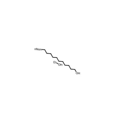 CCCCCCCCCCCCCCCCCCCCO.CCO